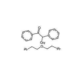 CC(C)CCOCCC(C)C.O=C(c1ccccc1)C(O)c1ccccc1